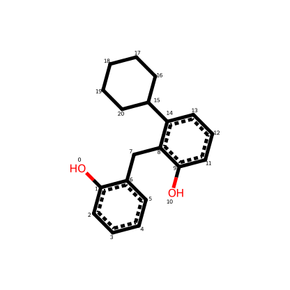 Oc1ccccc1Cc1c(O)cccc1C1CCCCC1